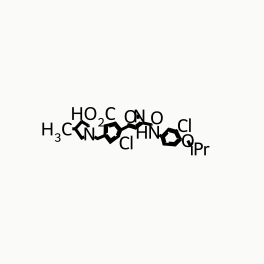 CC(C)Oc1ccc(NC(=O)c2cc(-c3ccc(CN4CC(C)C(C(=O)O)C4)cc3Cl)on2)cc1Cl